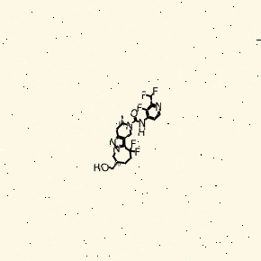 C[C@@H]1Cc2nn3c(c2CN1C(=O)Nc1ccnc(C(F)F)c1F)C(F)(F)CC[C@@H](CO)C3